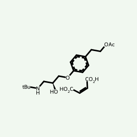 CC(=O)OCCc1ccc(OC[C@@H](O)CNC(C)(C)C)cc1.O=C(O)/C=C\C(=O)O